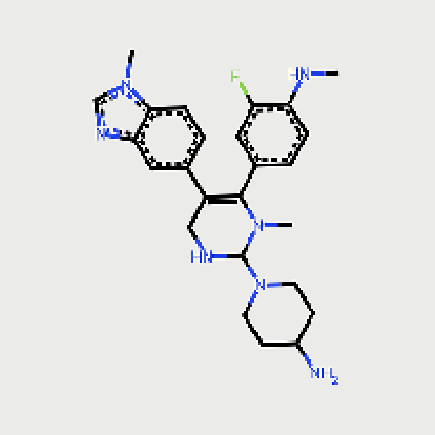 CNc1ccc(C2=C(c3ccc4c(c3)ncn4C)CNC(N3CCC(N)CC3)N2C)cc1F